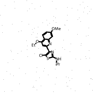 CCOc1cc(-c2nc(NC(C)C)sc2Cl)nc2cc(OC)ccc12